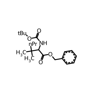 CCCC(C)(C)C(NC(=O)OC(C)(C)C)C(=O)OCc1ccccc1